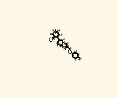 Fc1ccc(OCc2cn3cc(-c4ccncc4Cl)cnc3n2)cc1